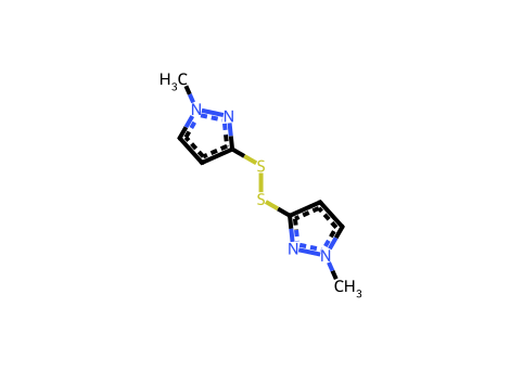 Cn1ccc(SSc2ccn(C)n2)n1